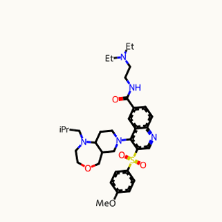 CCN(CC)CCNC(=O)c1ccc2ncc(S(=O)(=O)c3ccc(OC)cc3)c(N3CCC4C(COCCN4CC(C)C)C3)c2c1